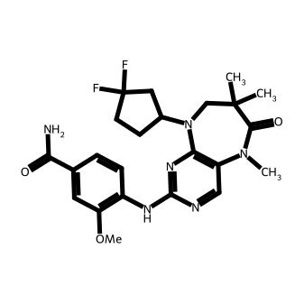 COc1cc(C(N)=O)ccc1Nc1ncc2c(n1)N(C1CCC(F)(F)C1)CC(C)(C)C(=O)N2C